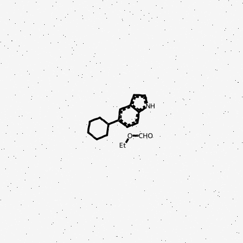 CCOC=O.c1cc2cc(C3CCCCC3)ccc2[nH]1